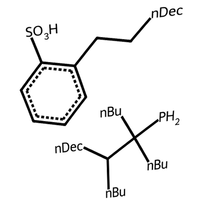 CCCCCCCCCCC(CCCC)C(P)(CCCC)CCCC.CCCCCCCCCCCCc1ccccc1S(=O)(=O)O